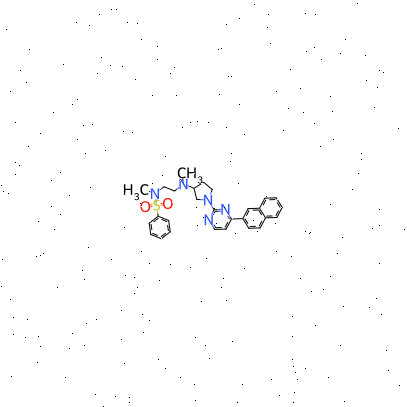 CN(CCN(C)S(=O)(=O)c1ccccc1)C1CCN(c2nccc(-c3ccc4ccccc4c3)n2)C1